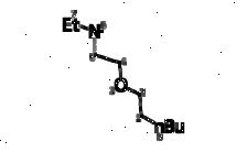 CCCCCCOCC[N]CC